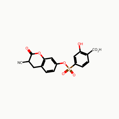 N#CC1Cc2ccc(OS(=O)(=O)c3ccc(C(=O)O)c(O)c3)cc2OC1=O